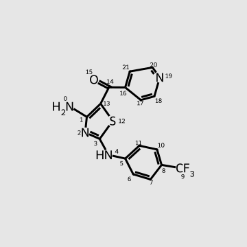 Nc1nc(Nc2ccc(C(F)(F)F)cc2)sc1C(=O)c1ccncc1